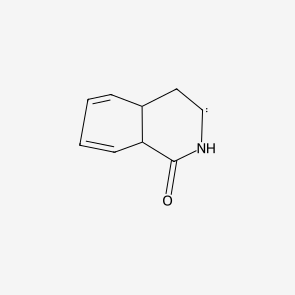 O=C1N[C]CC2C=CC=CC12